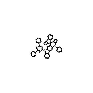 C1=CC(c2nc(-c3ccccc3)nc(N3c4ccccc4C4C=C5C(=CC43)C3(c4ccccc4-c4ccccc43)c3ccccc3N5c3ccccc3)n2)=CCC1